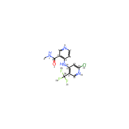 CNC(=O)c1cnccc1Nc1cc(Cl)ncc1C(F)(F)F